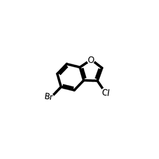 Clc1coc2ccc(Br)cc12